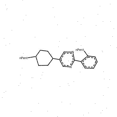 CCCCCc1ccccc1-c1ncc(C2CCC(CCCCC)CC2)cn1